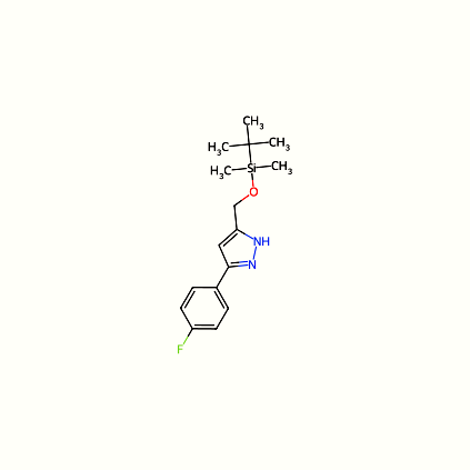 CC(C)(C)[Si](C)(C)OCc1cc(-c2ccc(F)cc2)n[nH]1